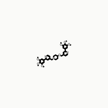 COc1cc(-c2cc(COC3CCN(Cc4ccnc(-c5cc(OC)c(OC)c(OC)c5)c4)CC3)ccn2)cc(OC)c1OC